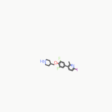 Cc1nc(I)ccc1-c1cc(F)c(OCC2CCNCC2)c(F)c1